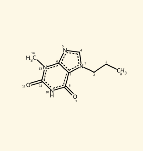 CCCn1cnc2c1c(=O)[nH]c(=O)n2C